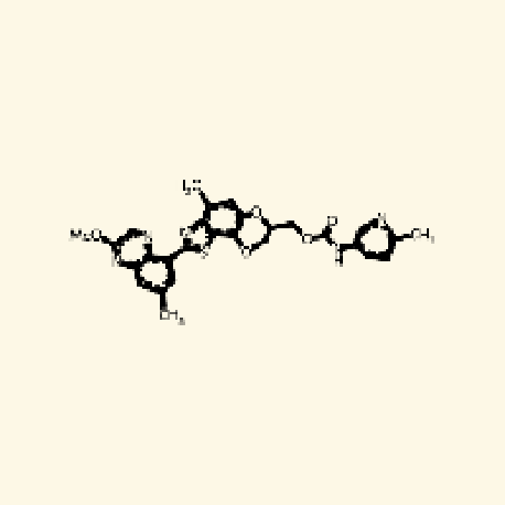 COc1cnc2c(-c3nc4c(C)cc5c(c4s3)OCC(COC(=O)Nc3ccc(C)nc3)O5)cc(C)cc2n1